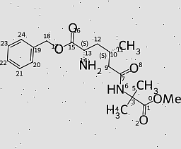 COC(=O)C(C)(C)NC(=O)C[C@@H](C)C[C@H](N)C(=O)OCc1ccccc1